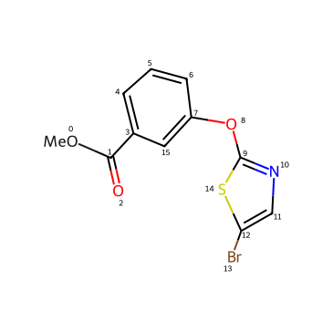 COC(=O)c1cccc(Oc2ncc(Br)s2)c1